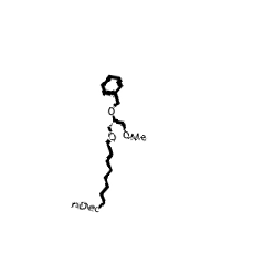 CCCCCCCCCCCCCCCCCCOC[C@@H](COC)OCc1ccccc1